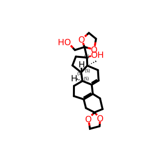 C[C@]12CC=C3C4=C(CC[C@H]3[C@@H]1CC[C@]2(O)C1(CO)OCCO1)CC1(CC4)OCCO1